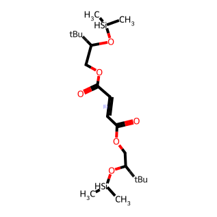 C[SiH](C)OC(COC(=O)/C=C/C(=O)OCC(O[SiH](C)C)C(C)(C)C)C(C)(C)C